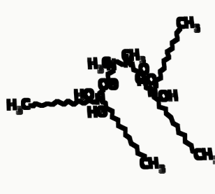 CCCCCCCCCCCCC(O)CN(CCOC(=O)CCN(C)CCN(C)CCC(=O)OCCN(CC(O)CCCCCCCCCCCC)CC(O)CCCCCCCCCCCC)CC(O)CCCCCCCCCCCC